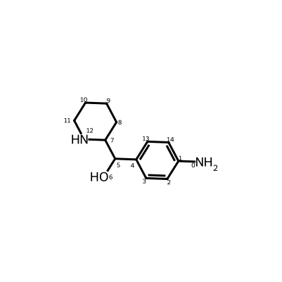 Nc1ccc(C(O)C2CCCCN2)cc1